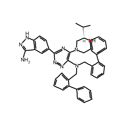 CC(C)[C@H]1CN(c2nc(-c3ccc4[nH]nc(N)c4c3)nnc2N(Cc2ccccc2-c2ccccc2)Cc2ccccc2-c2ccccc2)CCN1